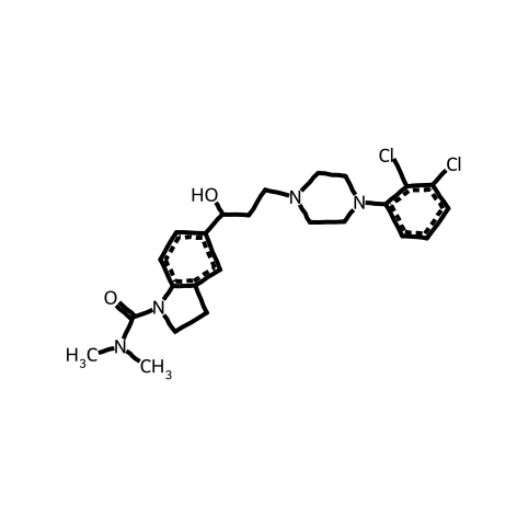 CN(C)C(=O)N1CCc2cc(C(O)CCN3CCN(c4cccc(Cl)c4Cl)CC3)ccc21